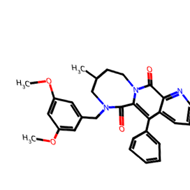 COc1cc(CN2CC(C)CCn3c(c(-c4ccccc4)c4cccnc4c3=O)C2=O)cc(OC)c1